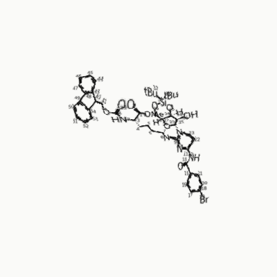 COC(=O)[C@H](CCCCN=c1nc(NC(=O)c2ccc(Br)cc2)ccn1[C@@H]1O[C@@H]2CO[Si](C(C)(C)C)(C(C)(C)C)O[C@H]2[C@H]1O)NC(=O)OCC1c2ccccc2-c2ccccc21